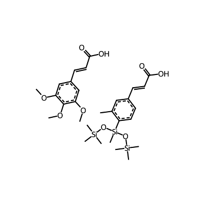 COc1cc(C=CC(=O)O)cc(OC)c1OC.Cc1cc(C=CC(=O)O)ccc1[Si](C)(O[Si](C)(C)C)O[Si](C)(C)C